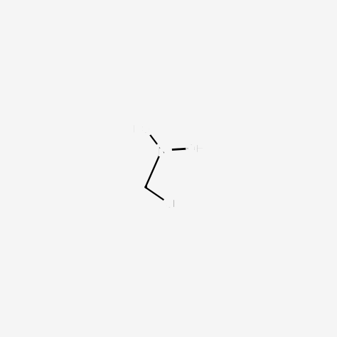 CC[N+](O)O